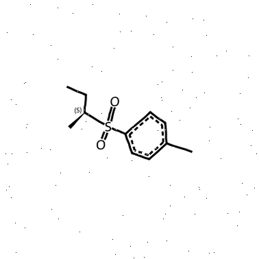 CC[C@H](C)S(=O)(=O)c1ccc(C)cc1